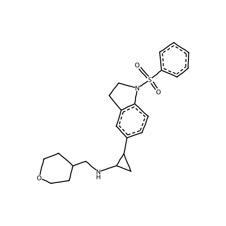 O=S(=O)(c1ccccc1)N1CCc2cc(C3CC3NCC3CCOCC3)ccc21